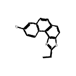 CCc1nc2c(ccc3ccc4cc(Cl)ccc4c32)o1